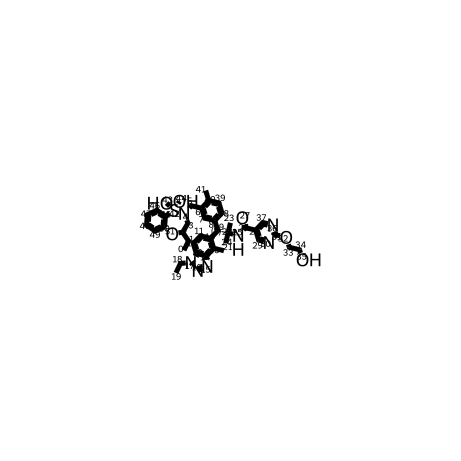 CCC1CN(Cc2cc([C@@H](c3ccc4c(nnn4CC)c3C)C(C)(C)NC(=O)c3cnc(OCCO)nc3)ccc2C)S(O)(O)c2ccccc2O1